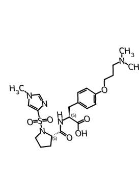 CN(C)CCCOc1ccc(C[C@H](NC(=O)[C@@H]2CCCN2S(=O)(=O)c2cn(C)cn2)C(=O)O)cc1